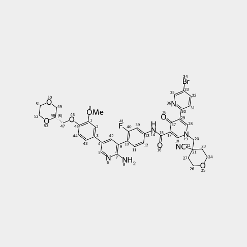 COc1cc(-c2cnc(N)c(-c3ccc(NC(=O)c4cn(CC5(C#N)CCOCC5)cc(-c5ccc(Br)cn5)c4=O)cc3F)c2)ccc1OC[C@H]1COCCO1